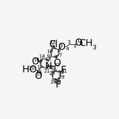 COCCCOc1cc2c(cc1Cl)-c1cc(=O)c(C(=O)O)cn1C(c1ccc(F)cc1F)O2